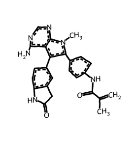 C=C(C)C(=O)Nc1ccc(-c2c(-c3ccc4c(c3)CC(=O)N4)c3c(N)ncnc3n2C)cc1